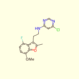 COc1ccc(F)c2c(CCNc3cc(Cl)ncn3)c(C)oc12